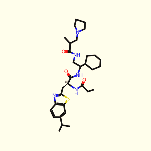 CCC(=O)N[C@@H](Cc1nc2ccc(C(C)C)cc2s1)C(=O)NC(CNC(=O)C(C)CN1CCCC1)C1CCCCC1